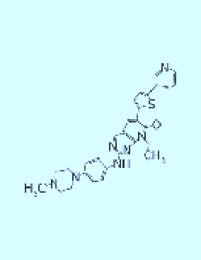 CCn1c(=O)c(-c2ccc(-c3cccnc3)s2)cc2cnc(Nc3ccc(N4CCN(C)CC4)cc3)nc21